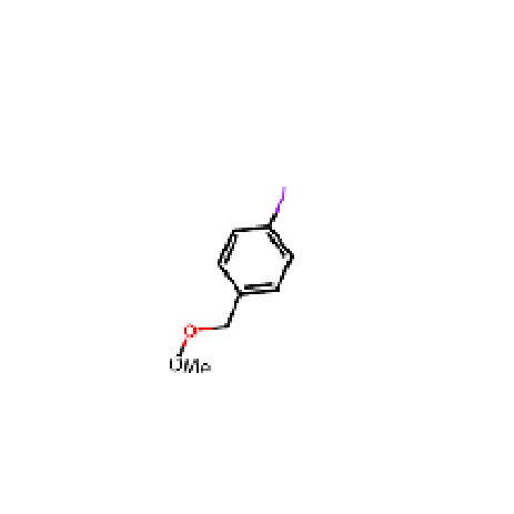 COOCc1ccc(I)cc1